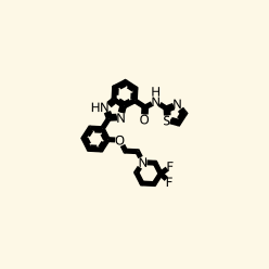 O=C(Nc1nccs1)c1cccc2[nH]c(-c3ccccc3OCCN3CCCC(F)(F)C3)nc12